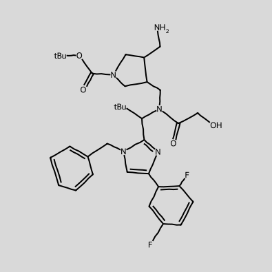 CC(C)(C)OC(=O)N1CC(CN)C(CN(C(=O)CO)C(c2nc(-c3cc(F)ccc3F)cn2Cc2ccccc2)C(C)(C)C)C1